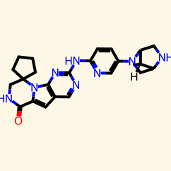 C[C@H]1C2CN(c3ccc(Nc4ncc5cc6n(c5n4)C4(CCCC4)CNC6=O)nc3)C1CN2